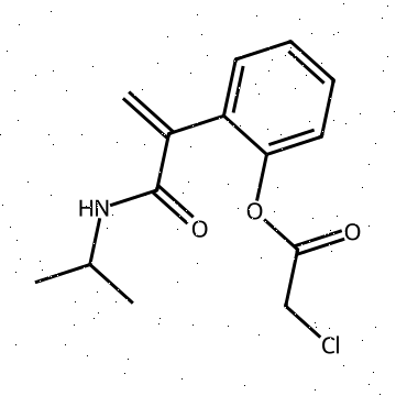 C=C(C(=O)NC(C)C)c1ccccc1OC(=O)CCl